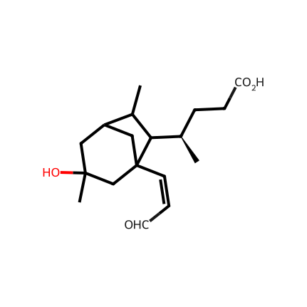 CC1C2CC(C)(O)CC(/C=C\C=O)(C2)C1[C@H](C)CCC(=O)O